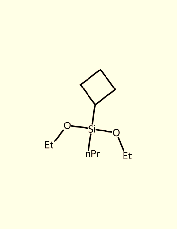 CCC[Si](OCC)(OCC)C1CCC1